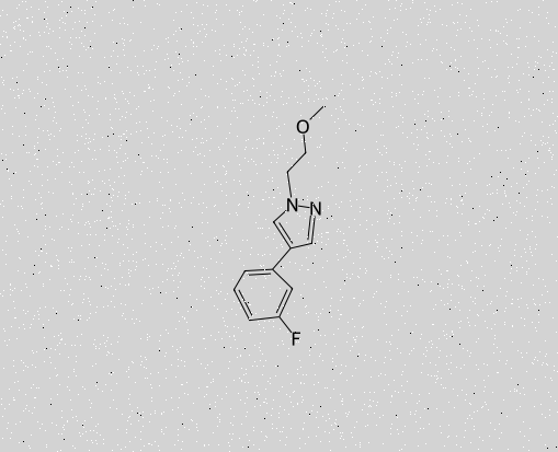 COCCn1cc(-c2cccc(F)c2)cn1